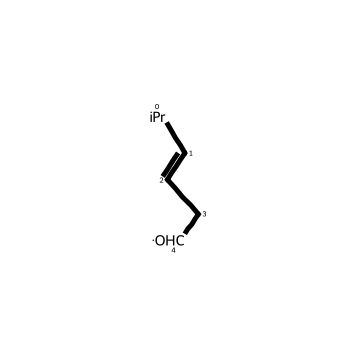 CC(C)/C=C/C[C]=O